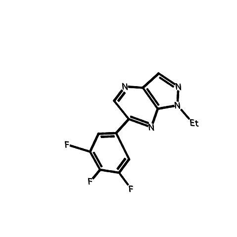 CCn1ncc2ncc(-c3cc(F)c(F)c(F)c3)nc21